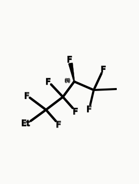 [CH2]CC(F)(F)C(F)(F)[C@@H](F)C(C)(F)F